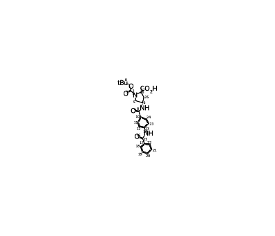 CC(C)(C)OC(=O)N1C[C@@H](NC(=O)c2ccc(NC(=O)c3ccccc3)cc2)C[C@H]1C(=O)O